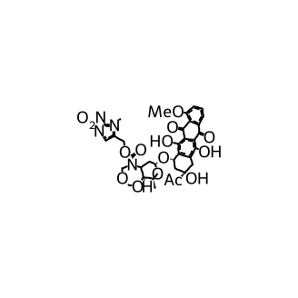 COc1cccc2c1C(=O)c1c(O)c3c(c(O)c1C2=O)C[C@@](O)(C(C)=O)C[C@@H]3O[C@H]1CC2[C@H](OCOCN2C(=O)OCc2cnc([N+](=O)[O-])n2C)[C@H](C)O1